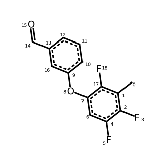 Cc1c(F)c(F)cc(Oc2cccc(C=O)c2)c1F